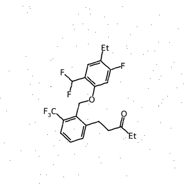 CCC(=O)CCc1cccc(C(F)(F)F)c1COc1cc(F)c(CC)cc1C(F)F